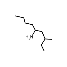 CCCCC(N)C[C](C)CC